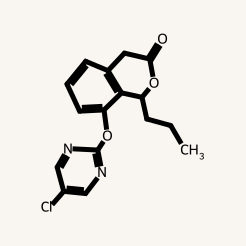 CCCC1OC(=O)Cc2cccc(Oc3ncc(Cl)cn3)c21